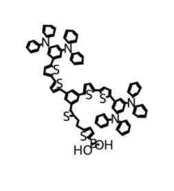 OB(O)c1ccc(CCC2SC2c2cc(-c3ccc(-c4ccc(-c5cc(N(c6ccccc6)c6ccccc6)cc(N(c6ccccc6)c6ccccc6)c5)s4)s3)cc(-c3ccc(-c4ccc(-c5cc(N(c6ccccc6)c6ccccc6)cc(N(c6ccccc6)c6ccccc6)c5)s4)s3)c2)s1